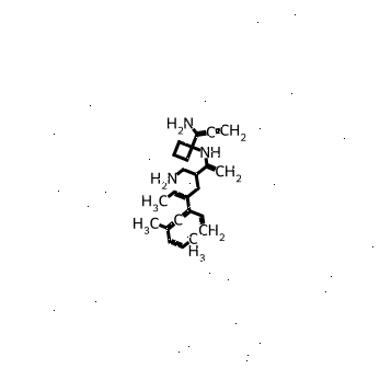 C=C=C(N)C1(NC(=C)C(CN)C/C(=C/C)C(=C=C(C)/C=C\C)C=C)CCC1